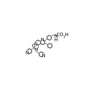 O=C(O)NCc1ccc(-c2nc3ccnc(CN(Cc4ccncc4)C(=O)c4ccncc4)c3cc2-c2ccccc2)cc1